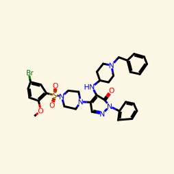 COc1ccc(Br)cc1S(=O)(=O)N1CCN(c2cnn(-c3ccccc3)c(=O)c2NC2CCN(Cc3ccccc3)CC2)CC1